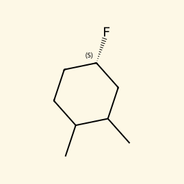 CC1CC[C@H](F)CC1C